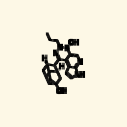 CCCN1N=C(C2[C@@H]3CC4C[C@H]2CC(O)(C4)C3)c2c(cnc3[nH]ccc23)B1O